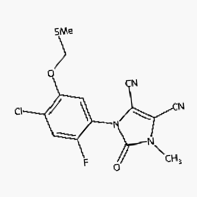 CSCOc1cc(-n2c(C#N)c(C#N)n(C)c2=O)c(F)cc1Cl